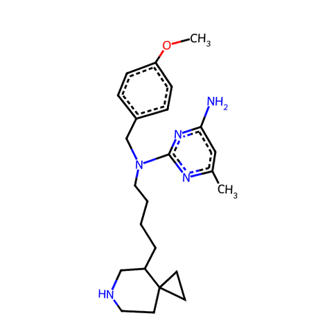 COc1ccc(CN(CCCCC2CNCCC23CC3)c2nc(C)cc(N)n2)cc1